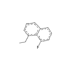 CCc1cccc2cccc(F)c12